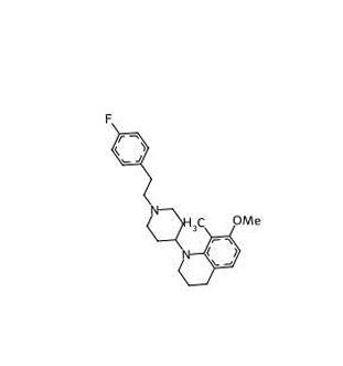 COc1ccc2c(c1C)N(C1CCN(CCc3ccc(F)cc3)CC1)CCC2